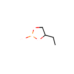 CCC1COP(O)O1